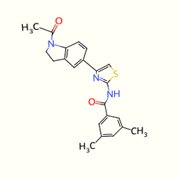 CC(=O)N1CCc2cc(-c3csc(NC(=O)c4cc(C)cc(C)c4)n3)ccc21